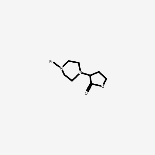 CC(C)N1CCN(C2CCOC2=O)CC1